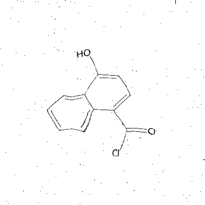 O=C(Cl)c1ccc(O)c2ccccc12